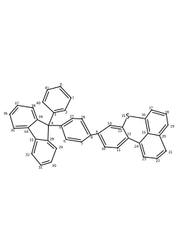 c1ccc(C2(c3ccc(-c4ccc5c(c4)Sc4cccc6cccc-5c46)cc3)c3ccccc3-c3ccccc32)cc1